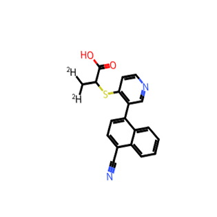 [2H]C([2H])C(Sc1ccncc1-c1ccc(C#N)c2ccccc12)C(=O)O